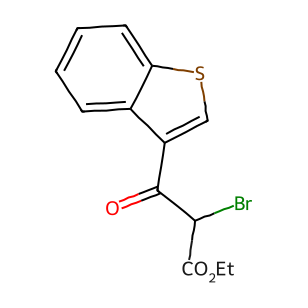 CCOC(=O)C(Br)C(=O)c1csc2ccccc12